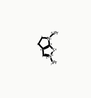 CC(C)N1CCc2c[n+](C(C)C)sc21